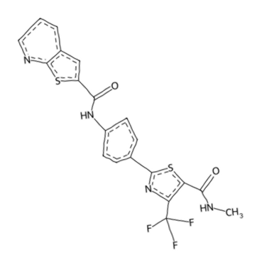 CNC(=O)c1sc(-c2ccc(NC(=O)c3cc4cccnc4s3)cc2)nc1C(F)(F)F